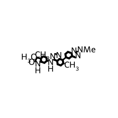 CNc1ncc2cc(-c3c(C)ccc4c(Nc5ccc6c(c5)NC(=O)C6(C)C)ncnc34)ccc2n1